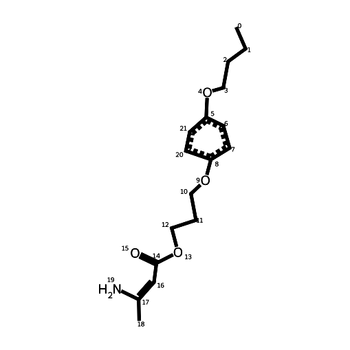 CCCCOc1ccc(OCCCOC(=O)C=C(C)N)cc1